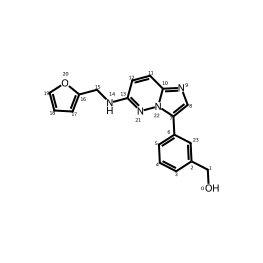 OCc1cccc(-c2cnc3ccc(NCc4ccco4)nn23)c1